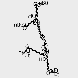 CCCCOC(=O)CCCCC(O)CN(CCCCSSCCN1CCN(CCOC(=O)CCCN(CC(O)CCCCCCC(=O)OCC(CC)CC)CC(O)CCCCCCC(=O)OCC(CC)CC)CC1)CC(O)CCCCC(=O)OCCCC